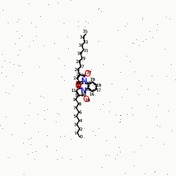 CCCCCCCCCCC1=CC(=O)N(c2ccccc2N2C(=O)C=C(CCCCCCCCCC)C2=O)C1=O